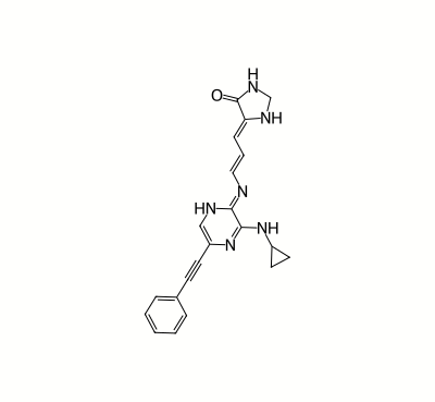 O=C1NCN\C1=C/C=C/N=c1\[nH]cc(C#Cc2ccccc2)nc1NC1CC1